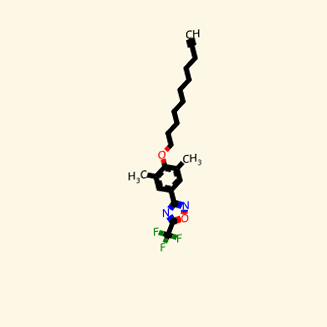 C#CCCCCCCCCCOc1c(C)cc(-c2noc(C(F)(F)F)n2)cc1C